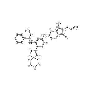 C=CCn1c(=O)c2ccc(Nc3cc(N[C@H](CO)c4ccccc4)c(C4=NC5(CCOCC5)CO4)cn3)nc2n1C(C)C